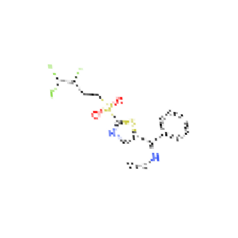 CON=C(c1ccccc1)c1cnc(S(=O)(=O)CCC(F)=C(F)F)s1